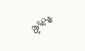 Cc1nc([C@@H]2CCC[C@H](NC(=O)c3cc4c(F)ccc(C)c4[nH]3)C2)no1